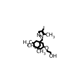 C.Cc1c(I)cnn1CC12CC(C)CC(C)(CC(OCCO)C1)C2